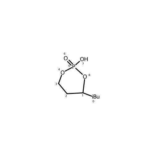 CCC(C)C1CCOP(=O)(O)O1